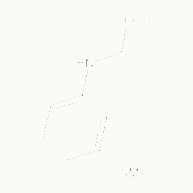 CSc1cccc(NCC(=O)O)c1